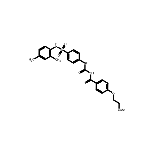 COCCOc1ccc(C(=O)NC(=S)Nc2ccc(S(=O)(=O)Nc3ccc(C)cc3C)cc2)cc1